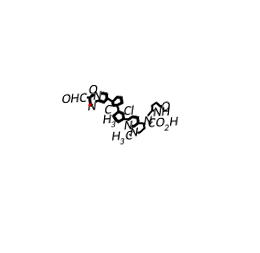 Cc1c(-c2ccn3c(=O)c(C=O)cnc3c2)cccc1-c1cccc(-c2ccc3c(n2)N(C)CCC3N(CC2CCC(=O)N2)C(=O)O)c1Cl